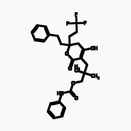 CC(C)(COC(=O)Nc1ccccc1)CC1=C(O)CC(CCc2ccccc2)(CCC(F)(F)F)OC1=O